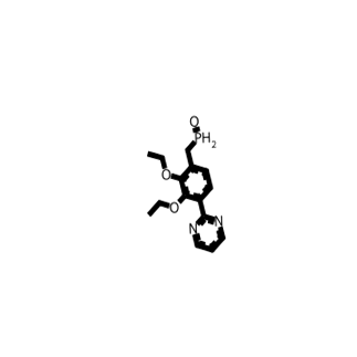 CCOc1c(C[PH2]=O)ccc(-c2ncccn2)c1OCC